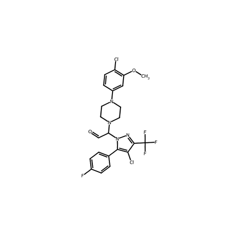 COc1cc(N2CCN(C(C=O)n3nc(C(F)(F)F)c(Cl)c3-c3ccc(F)cc3)CC2)ccc1Cl